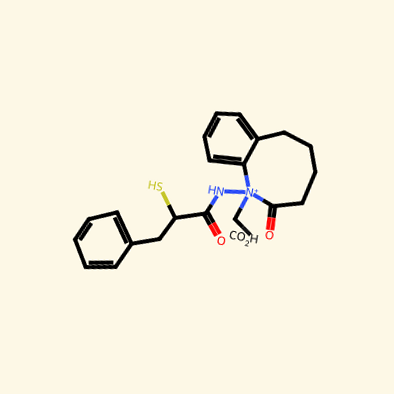 O=C(O)C[N+]1(NC(=O)C(S)Cc2ccccc2)C(=O)CCCCc2ccccc21